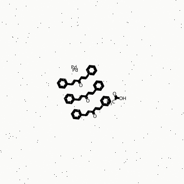 CC(=O)O.O=C(C=Cc1ccccc1)C=Cc1ccccc1.O=C(C=Cc1ccccc1)C=Cc1ccccc1.O=C(C=Cc1ccccc1)C=Cc1ccccc1.[Pd].[Pd]